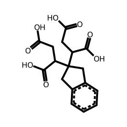 O=C(O)CC(C(=O)O)C1(C(CC(=O)O)C(=O)O)Cc2ccccc2C1